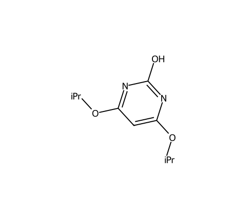 CC(C)Oc1cc(OC(C)C)nc(O)n1